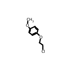 COc1ccc(OCCCl)cc1